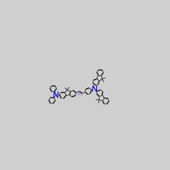 CC1(C)c2ccccc2-c2ccc(N(c3ccc(/C=C/c4ccc5c(c4)C(C)(C)c4cc(N(c6ccccc6)c6ccccc6)ccc4-5)cc3)c3ccc4c(c3)C(C)(C)c3ccccc3-4)cc21